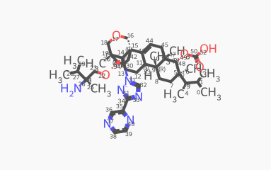 CC(C)[C@@H](C)[C@@]1(C)CC[C@]2(C)[C@H]3CC[C@@H]4[C@@]5(COC[C@@]4(C)[C@@H](OC[C@](C)(N)C(C)C)[C@H](n4cnc(-c6cnccn6)n4)C5)C3=CC[C@]2(C)[C@@H]1OC(=O)O